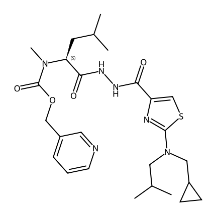 CC(C)C[C@@H](C(=O)NNC(=O)c1csc(N(CC(C)C)CC2CC2)n1)N(C)C(=O)OCc1cccnc1